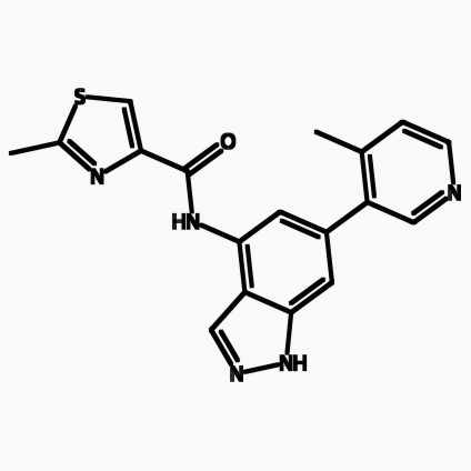 Cc1nc(C(=O)Nc2cc(-c3cnccc3C)cc3[nH]ncc23)cs1